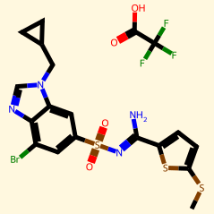 CSc1ccc(C(N)=NS(=O)(=O)c2cc(Br)c3ncn(CC4CC4)c3c2)s1.O=C(O)C(F)(F)F